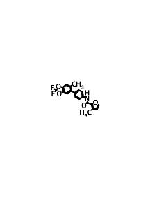 Cc1cc2c(cc1-c1ccc(NC(=O)c3occc3C)cc1)OC(F)(F)O2